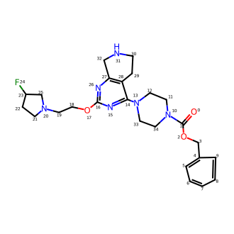 O=C(OCc1ccccc1)N1CCN(c2nc(OCCN3CCC(F)C3)nc3c2CCNC3)CC1